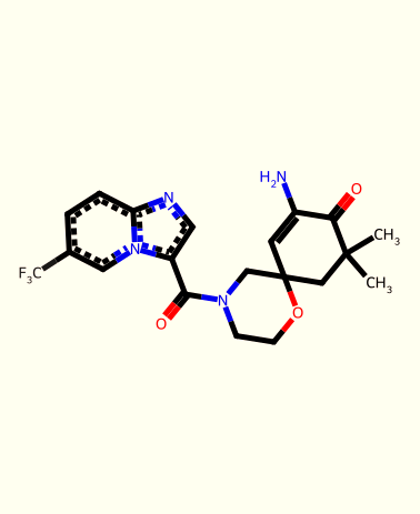 CC1(C)CC2(C=C(N)C1=O)CN(C(=O)c1cnc3ccc(C(F)(F)F)cn13)CCO2